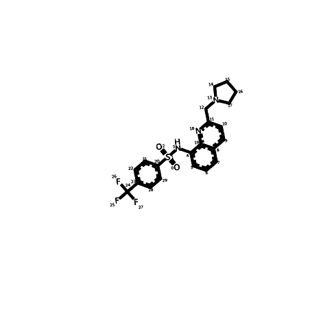 O=S(=O)(Nc1cccc2ccc(CN3CCCC3)nc12)c1ccc(C(F)(F)F)cc1